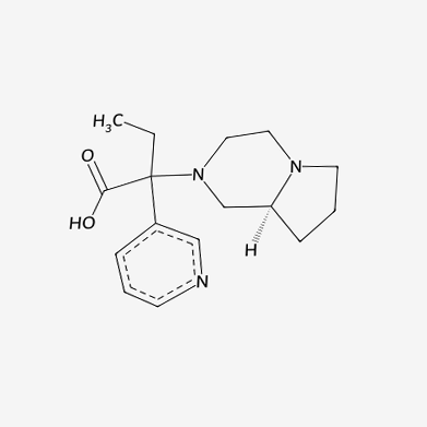 CCC(C(=O)O)(c1cccnc1)N1CCN2CCC[C@H]2C1